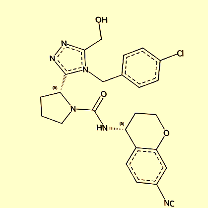 [C-]#[N+]c1ccc2c(c1)OCC[C@H]2NC(=O)N1CCC[C@@H]1c1nnc(CO)n1Cc1ccc(Cl)cc1